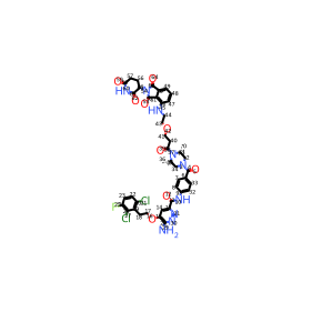 C[C@@H]1CN(C(=O)c2ccc(NC(=O)c3cc(OCCc4c(Cl)ccc(F)c4Cl)c(N)nn3)cc2)C[C@H](C)N1C(=O)CCOCCNc1cccc2c1C(=O)N([C@@H]1CCC(=O)NC1=O)C2=O